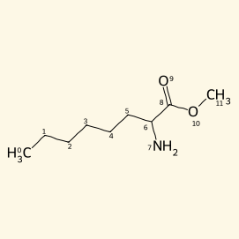 CCCCCCC(N)C(=O)OC